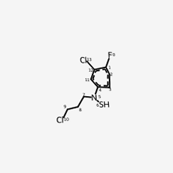 Fc1ccc(N(S)CCCCl)cc1Cl